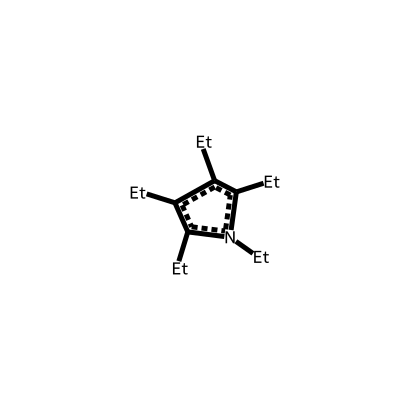 CCc1c(CC)c(CC)n(CC)c1CC